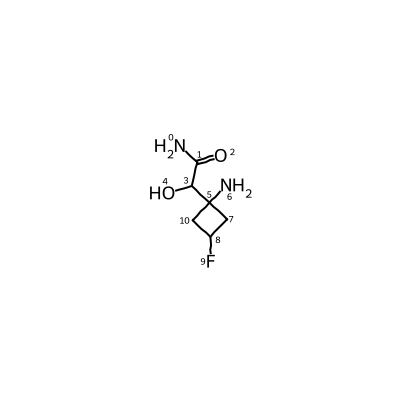 NC(=O)C(O)C1(N)CC(F)C1